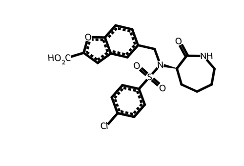 O=C(O)c1cc2cc(CN([C@@H]3CCCCNC3=O)S(=O)(=O)c3ccc(Cl)cc3)ccc2o1